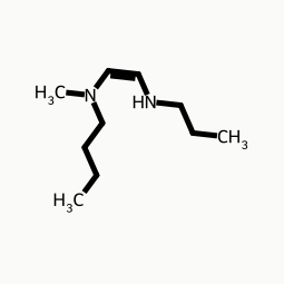 CCCCN(C)/C=C\NCCC